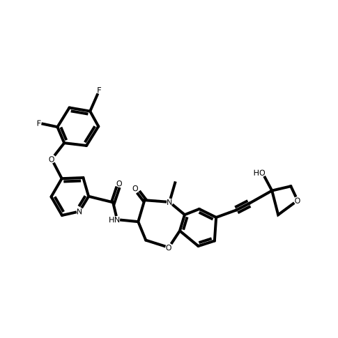 CN1C(=O)C(NC(=O)c2cc(Oc3ccc(F)cc3F)ccn2)COc2ccc(C#CC3(O)COC3)cc21